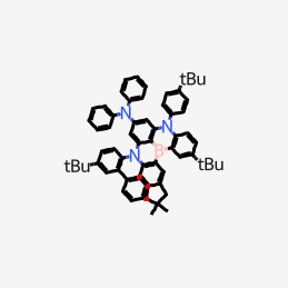 CC1(C)Cc2cc3c(cc2C1)N(c1ccc(C(C)(C)C)cc1-c1ccccc1)c1cc(N(c2ccccc2)c2ccccc2)cc2c1B3c1cc(C(C)(C)C)ccc1N2c1ccc(C(C)(C)C)cc1